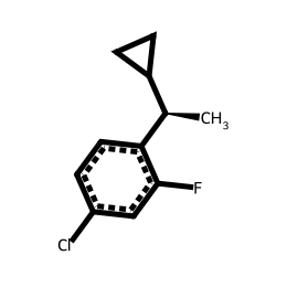 C[C@@H](c1ccc(Cl)cc1F)C1CC1